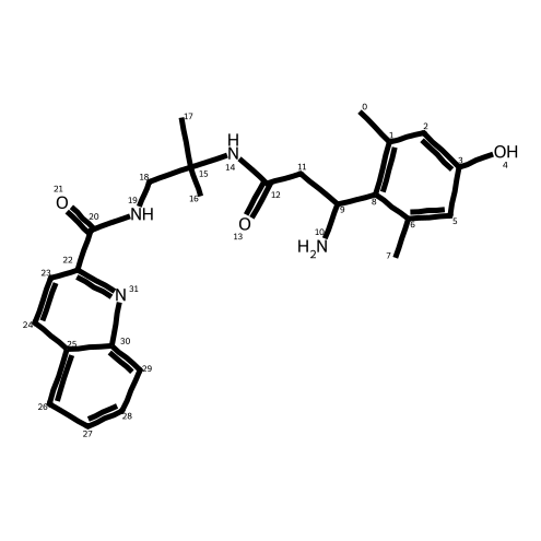 Cc1cc(O)cc(C)c1C(N)CC(=O)NC(C)(C)CNC(=O)c1ccc2ccccc2n1